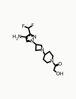 Nc1cn(C2CN(C3CCN(C(=O)CO)CC3)C2)nc1C(F)F